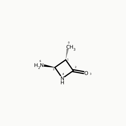 C[C@@H]1C(=O)N[C@H]1N